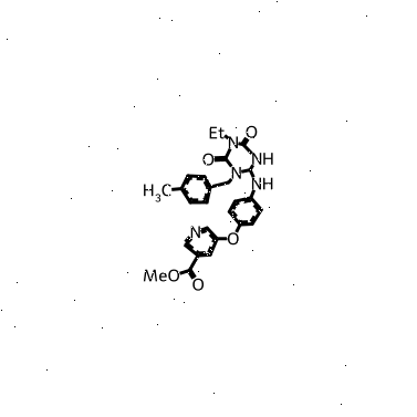 CCN1C(=O)NC(Nc2ccc(Oc3cncc(C(=O)OC)c3)cc2)N(Cc2ccc(C)cc2)C1=O